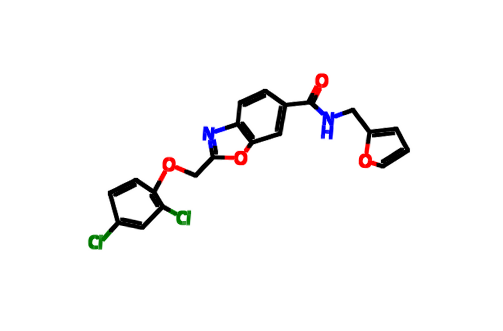 O=C(NCc1ccco1)c1ccc2nc(COc3ccc(Cl)cc3Cl)oc2c1